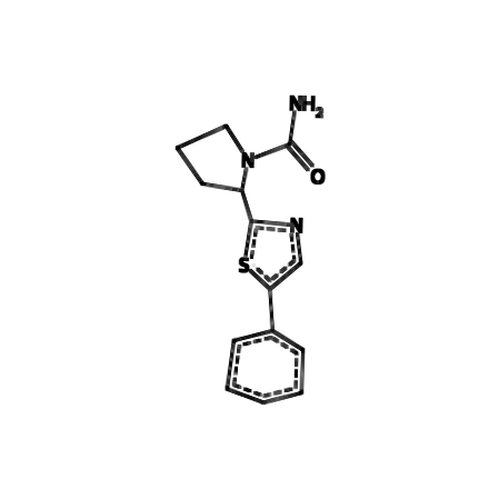 NC(=O)N1CCCC1c1ncc(-c2ccccc2)s1